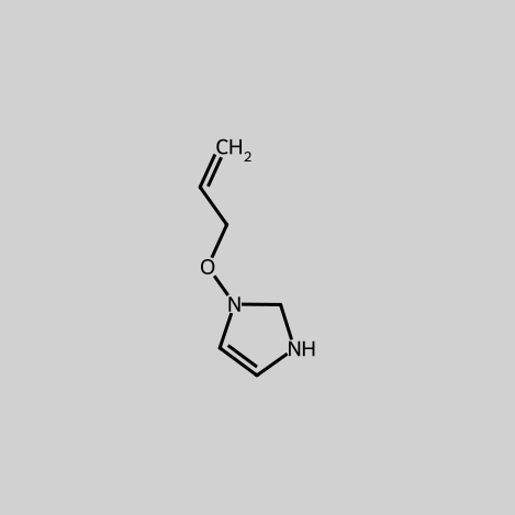 C=CCON1C=CNC1